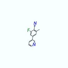 Cc1cc(-c2cccnc2)cc(F)c1C#N